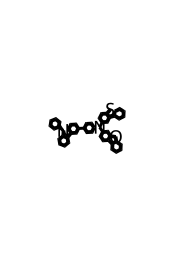 c1ccc(-n2c3ccccc3c3cc(-c4ccc(N(c5ccc6c(c5)oc5ccccc56)c5ccc6sc7ccccc7c6c5)cc4)ccc32)cc1